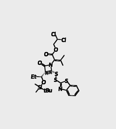 CCC(O[Si](C)(C)C(C)(C)C)[C@@H]1C(=O)N(C(C(=O)OCC(Cl)Cl)=C(C)C)[C@@H]1SSc1nc2ccccc2s1